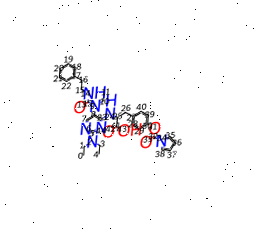 CCN(CC)c1ncc(N(CC)C(=O)NCCc2ccccc2)c(N[C@@H](Cc2ccc(OC(=O)n3cccc3)cc2)C(=O)O)n1